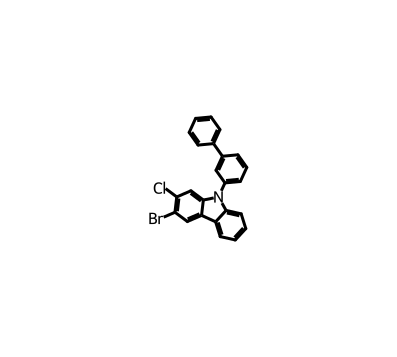 Clc1cc2c(cc1Br)c1ccccc1n2-c1cccc(-c2ccccc2)c1